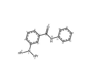 CCCN(CCC)c1cccc(C(=O)Nc2ccccc2)c1